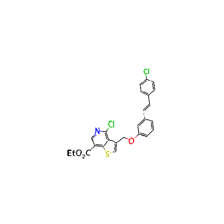 CCOC(=O)c1cnc(Cl)c2c(COc3cccc(C=Cc4ccc(Cl)cc4)c3)csc12